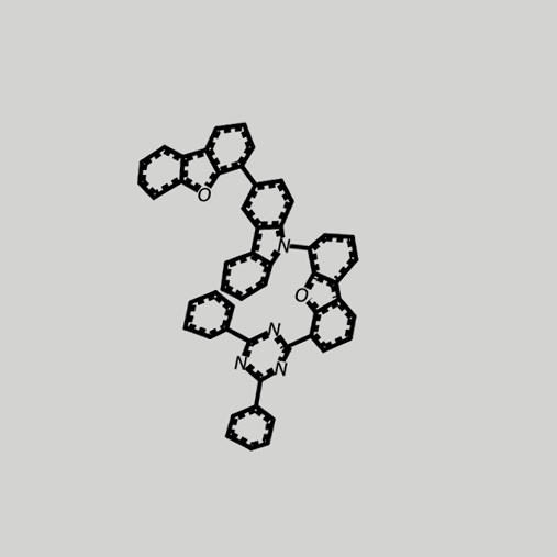 c1ccc(-c2nc(-c3ccccc3)nc(-c3cccc4c3oc3c(-n5c6ccccc6c6cc(-c7cccc8c7oc7ccccc78)ccc65)cccc34)n2)cc1